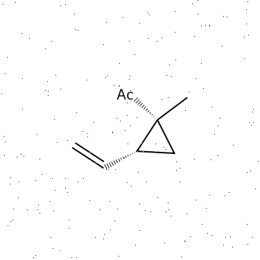 C=C[C@H]1C[C@@]1(C)C(C)=O